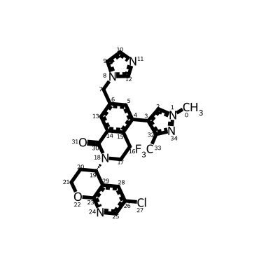 Cn1cc(-c2cc(Cn3ccnc3)cc3c2CCN([C@H]2CCOc4ncc(Cl)cc42)C3=O)c(C(F)(F)F)n1